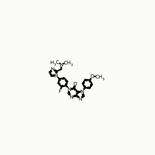 COc1ccc(-n2cnc3ncn(-c4ccc(-n5ccnc5CN(C)C)cc4F)c(=O)c32)cc1